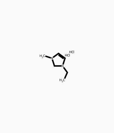 CCN1C=CN(C)C1.Cl.Cl